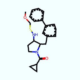 COCSNC1CCN(C(=O)C2CC2)C1Cc1cccc(-c2ccccc2)c1